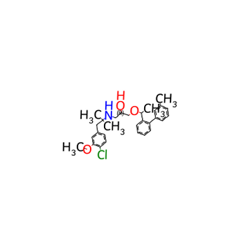 COc1cc(CC(C)(C)NC[C@@H](O)COC(C)c2ccccc2-c2cccc(C)c2)ccc1Cl